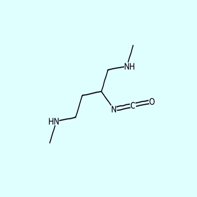 CNCCC(CNC)N=C=O